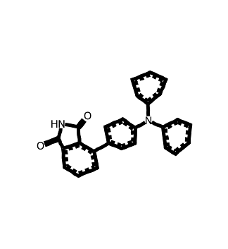 O=C1NC(=O)c2c1cccc2-c1ccc(N(c2ccccc2)c2ccccc2)cc1